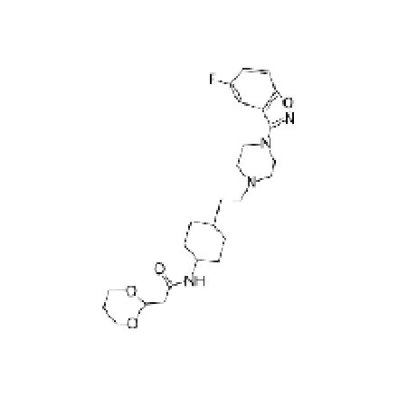 O=C(CC1OCCCO1)NC1CCC(CCN2CCN(c3noc4ccc(F)cc34)CC2)CC1